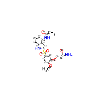 COc1ccc(S(=O)(=O)C2Cc3c(NC(C)=O)cccc3N2)cc1OCCC(N)=O